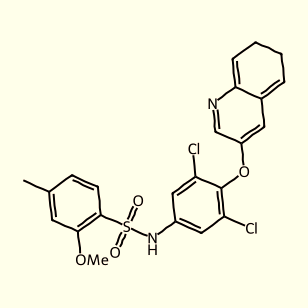 COc1cc(C)ccc1S(=O)(=O)Nc1cc(Cl)c(Oc2cnc3c(c2)=CCCC=3)c(Cl)c1